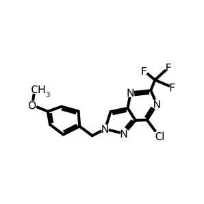 COc1ccc(Cn2cc3nc(C(F)(F)F)nc(Cl)c3n2)cc1